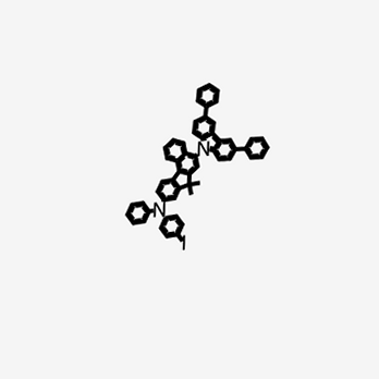 CC1(C)c2cc(N(c3ccccc3)c3ccc(I)cc3)ccc2-c2c1cc(-n1c3ccc(-c4ccccc4)cc3c3cc(-c4ccccc4)ccc31)c1ccccc21